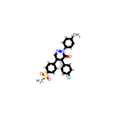 Cc1ccc(-n2ncc(-c3ccc(S(C)(=O)=O)cc3)c(-c3ccc(F)cc3)c2=O)cc1